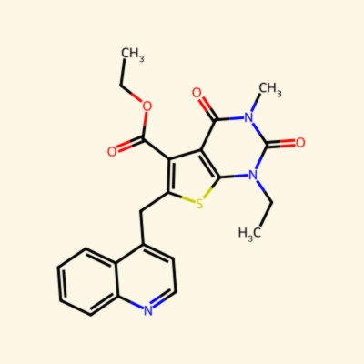 CCOC(=O)c1c(Cc2ccnc3ccccc23)sc2c1c(=O)n(C)c(=O)n2CC